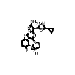 Nc1nn2ccc(N3CC[C@H]4C[C@]43c3cc(F)ccc3F)nc2c1-c1nnc(C2CC2)s1